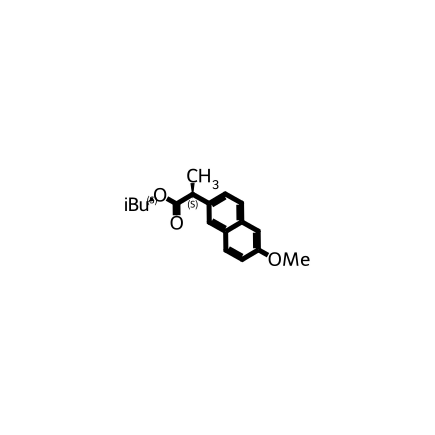 CC[C@H](C)OC(=O)[C@@H](C)c1ccc2cc(OC)ccc2c1